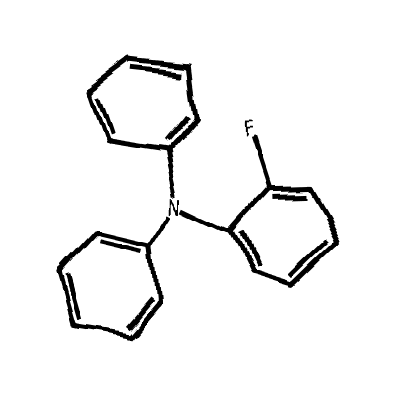 Fc1ccccc1N(c1ccccc1)c1ccccc1